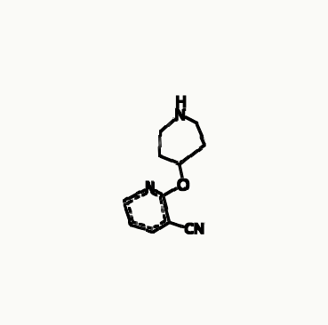 N#Cc1cccnc1OC1CCNCC1